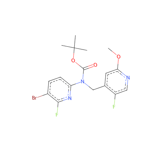 COc1cc(CN(C(=O)OC(C)(C)C)c2ccc(Br)c(F)n2)c(F)cn1